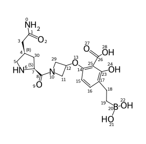 NC(=O)C[C@@H]1CN[C@H](C(=O)N2CC(Oc3ccc(CCB(O)O)c(O)c3C(=O)O)C2)C1